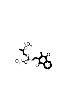 CC1=C(CC[C@@H](OCC(C)O[N+](=O)[O-])O[N+](=O)[O-])C(=O)c2ccccc2C1=O